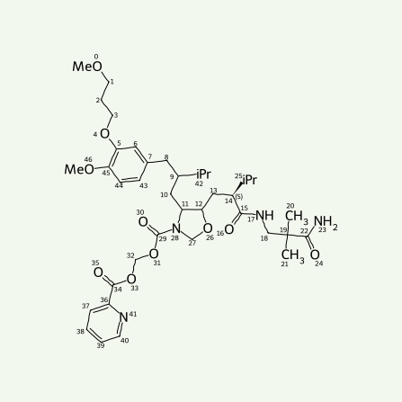 COCCCOc1cc(CC(CC2C(C[C@H](C(=O)NCC(C)(C)C(N)=O)C(C)C)OCN2C(=O)OCOC(=O)c2ccccn2)C(C)C)ccc1OC